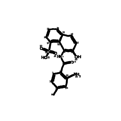 Cc1ccc(C(=O)Nc2c(O)ccc3cccc(S(=O)(=O)O)c23)c(N)c1